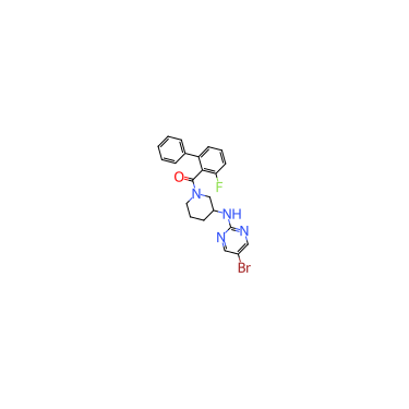 O=C(c1c(F)cccc1-c1ccccc1)N1CCCC(Nc2ncc(Br)cn2)C1